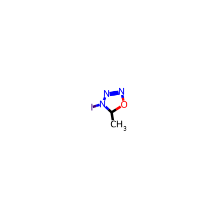 CC1ON=NN1I